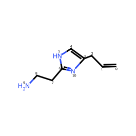 C=CCc1c[nH]c(CCN)n1